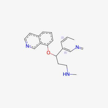 C=N/C=C(\C=C/C)C(CCNC)Oc1cccc2ccncc12